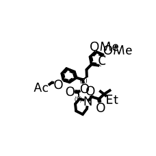 CCC(C)(C)C(=O)C(=O)N1CCCC[C@H]1C(=O)O[C@H](CCc1ccc(OC)c(OC)c1)c1cccc(OCC(C)=O)c1